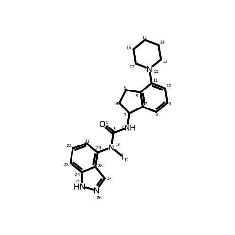 O=C(NC1CCc2c1cccc2N1CCCCC1)N(I)c1cccc2[nH]ncc12